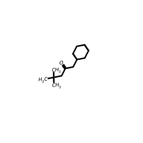 CC(C)(C)CC(=O)CC1CCCCC1